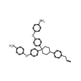 C=CCc1ccc(C2CCC(c3ccc(Oc4ccc(N)cc4)cc3)(c3ccc(Oc4ccc(N)cc4)cc3)CC2)cc1